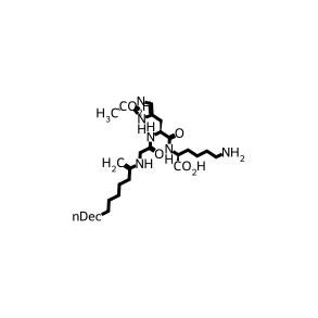 C=C(CCCCCCCCCCCCCCC)NCC(=O)N[C@@H](Cc1cnc[nH]1)C(=O)N[C@@H](CCCCN)C(=O)O.CC(=O)O